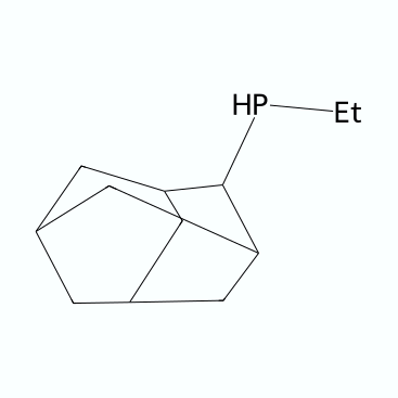 CCPC1C2CC3CC(C2)CC1C3